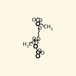 CCCc1c(OCCCCCOC(Cc2cccc(-c3cc4ccccc4c(=O)o3)c2)C(=O)OCC)ccc2c1OCCC2=O